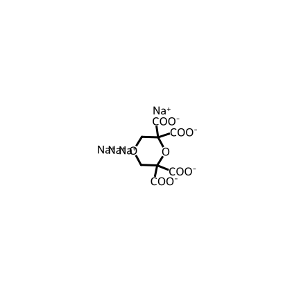 O=C([O-])C1(C(=O)[O-])COCC(C(=O)[O-])(C(=O)[O-])O1.[Na+].[Na+].[Na+].[Na+]